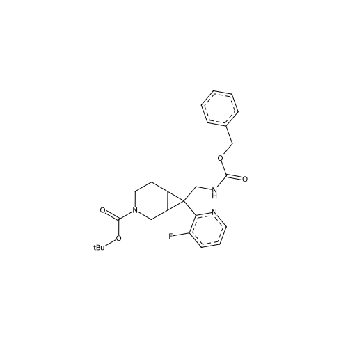 CC(C)(C)OC(=O)N1CCC2C(C1)C2(CNC(=O)OCc1ccccc1)c1ncccc1F